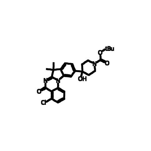 CC(C)(C)OC(=O)N1CCC(O)(c2ccc3c(c2)-n2c(nc(=O)c4c(Cl)cccc42)C3(C)C)CC1